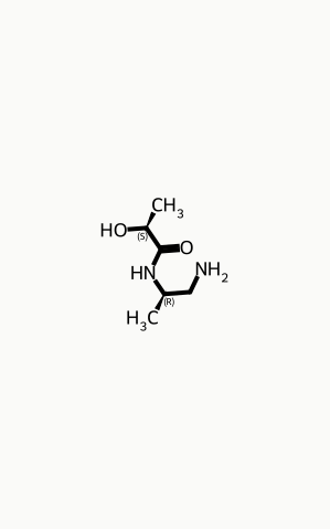 C[C@H](CN)NC(=O)[C@H](C)O